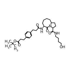 CC(C)(C)OC(=O)CCc1ccc(CCC(=O)NC2CCCCC3CCC(C(=O)NCCCCO)N3C2=O)cc1